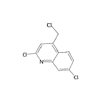 ClCc1cc(Cl)nc2cc(Cl)ccc12